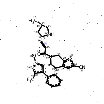 CCn1cc(-c2ccccc2[C@@H]2CN(C(=O)/C=C/[C@@H]3C[C@@H](C)CN3)Cc3sc(C#N)cc32)c(C(F)(F)F)n1